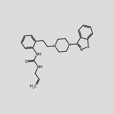 C=CCNC(=O)Nc1ccccc1CCN1CCN(c2nsc3ccccc23)CC1